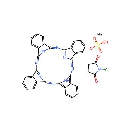 O=C1CCC(=O)N1Cl.O=S(=O)([O-])O.[Na+].c1ccc2c(c1)-c1nc-2nc2[nH]c(nc3nc(nc4[nH]c(n1)c1ccccc41)-c1ccccc1-3)c1ccccc21